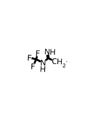 [CH2]C(=N)NC(F)(F)F